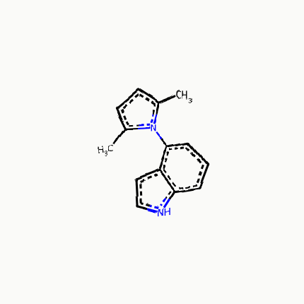 Cc1ccc(C)n1-c1cccc2[nH]ccc12